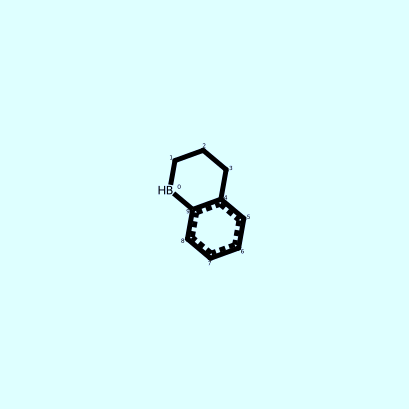 B1CCCc2ccccc21